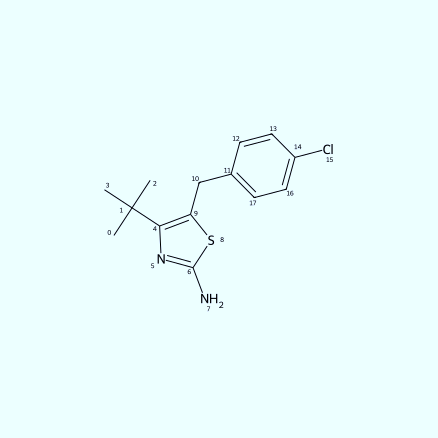 CC(C)(C)c1nc(N)sc1Cc1ccc(Cl)cc1